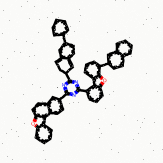 C1=c2ccc(-c3ccccc3)cc2=CCC1c1nc(-c2ccc3c(ccc4oc5ccccc5c43)c2)nc(-c2cccc3oc4c(-c5ccc6ccccc6c5)cccc4c23)n1